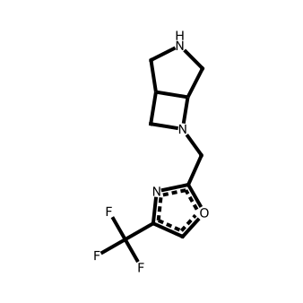 FC(F)(F)c1coc(CN2CC3CNCC32)n1